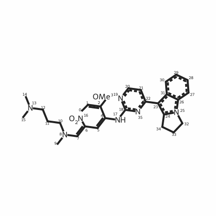 C\C=C(OC)/C(=C\C(=C\N(C)CCCN(C)C)[N+](=O)[O-])Nc1nccc(-c2c3n(c4ccccc24)CCC3)n1